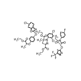 CC(C)N(C(=O)COc1nnc(C(F)(F)F)s1)c1ccc(F)cc1.CCOC(=O)C1=NN(c2ccc(Cl)cc2Cl)C(C)(C(=O)OCC)C1.CCOC(=O)[C@@H](C)Oc1ccc(Oc2nc3ccc(Cl)cc3o2)cc1